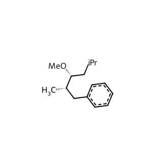 CO[C@H](CC(C)C)[C@@H](C)Cc1ccccc1